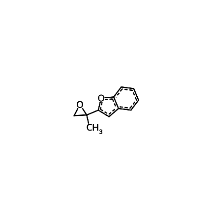 CC1(c2cc3ccccc3o2)CO1